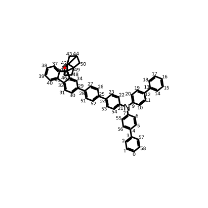 c1ccc(-c2ccc(N(c3ccc(-c4ccccc4)cc3)c3ccc(-c4ccc(-c5ccc6c(c5)C5(c7ccccc7-6)C67CC8CC(C6)CC75C8)cc4)cc3)cc2)cc1